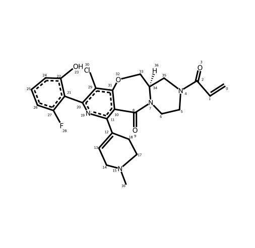 C=CC(=O)N1CCN2C(=O)c3c(C4=CCN(C)CC4)nc(-c4c(O)cccc4F)c(Cl)c3OC[C@H]2C1